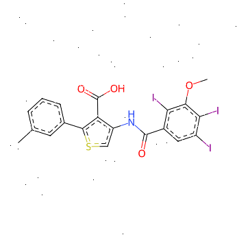 COc1c(I)c(I)cc(C(=O)Nc2csc(-c3cccc(C)c3)c2C(=O)O)c1I